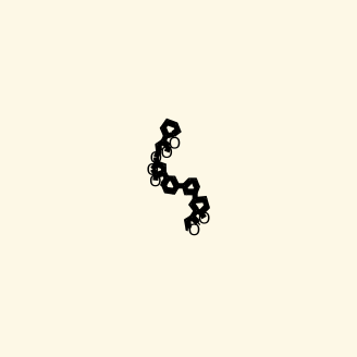 c1cc(-c2ccc3oc4occc4c3c2)cc(-c2ccc3oc4oc(Oc5cc6c(o5)oc5ccccc56)cc4c3c2)c1